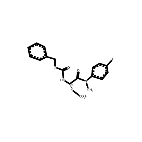 CN(C(=O)[C@H](CC(=O)O)NC(=O)OCc1ccccc1)c1ccc(F)cc1